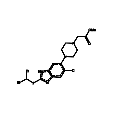 CCC(CC)Sc1nc2cc(Cl)c(N3CCN(CC(=O)OC)CC3)cc2[nH]1